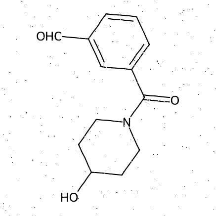 O=Cc1cccc(C(=O)N2CCC(O)CC2)c1